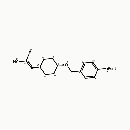 CCCCCc1ccc(CO[C@H]2CC[C@H](C=C(F)C#N)CC2)cc1